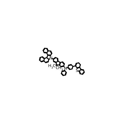 CC1(C)c2cc(N(C3=CCC(C4=CCCc5c4sc4ccccc54)C=C3)c3ccccc3)ccc2-c2ccc(N3c4ccc5ccccc5c4C4c5ccccc5C=CC43)cc21